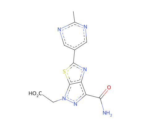 Cc1ncc(-c2nc3c(C(N)=O)nn(CC(=O)O)c3s2)cn1